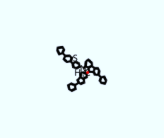 CC12c3cc(-c4ccccc4)ccc3-c3cccc(c31)N(c1ccc3c(c1)sc1cc(-c4ccccc4)ccc13)c1cc3cc(-c4ccccc4)ccc3cc12